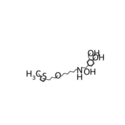 Cc1ccc(CCCOCCCCCCNCC(O)c2ccc(O)c(CO)c2)s1